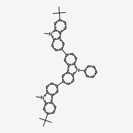 Cn1c2ccc(-c3ccc4c(c3)c3cc(-c5ccc6c(c5)c5ccc(C(C)(C)C)cc5n6C)ccc3n4-c3ccccc3)cc2c2ccc(C(C)(C)C)cc21